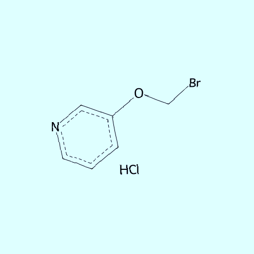 BrCOc1cccnc1.Cl